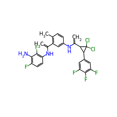 C=C(Nc1ccc(F)c(N)c1F)c1cc(NC(=C)C2C(c3cc(F)c(F)c(F)c3)C2(Cl)Cl)ccc1C